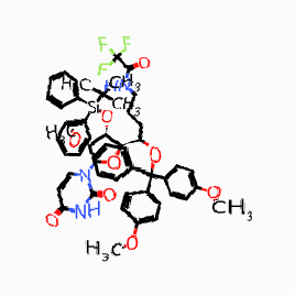 COc1ccc(C(OC(CCCNC(=O)C(F)(F)F)[C@H]2O[C@@H](n3ccc(=O)[nH]c3=O)[C@H](OC)[C@@H]2O[Si](c2ccccc2)(c2ccccc2)C(C)(C)C)(c2ccccc2)c2ccc(OC)cc2)cc1